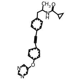 CC(Cc1ccc(C#Cc2ccc(Oc3cncnc3)cc2)cc1)NC(=O)C1CC1